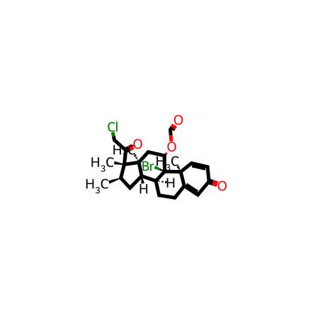 C[C@@H]1C[C@H]2[C@@H]3CCC4=CC(=O)C=C[C@]4(C)[C@@]3(Br)[C@@H](OC=O)C[C@]2(C)[C@@]1(C)C(=O)CCl